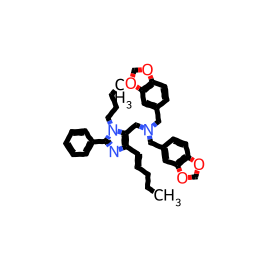 CCCC=Cc1nc(-c2ccccc2)n(CCCC)c1CN(Cc1ccc2c(c1)OCO2)Cc1ccc2c(c1)OCO2